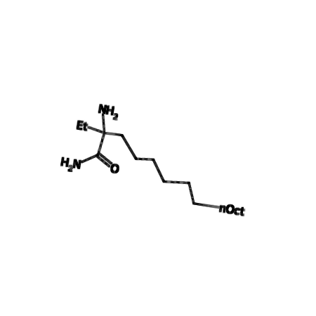 CCCCCCCCCCCCCCC(N)(CC)C(N)=O